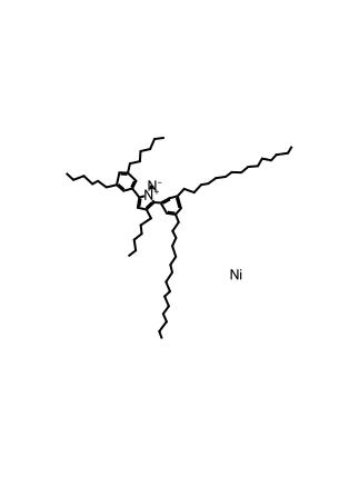 CCCCCCCCCCCCCCCc1cc(CCCCCCCCCCCCCCC)cc(C2=C(CCCCCC)C=C(c3cc(CCCCCC)cc(CCCCCC)c3)[N+]2=[N-])c1.[Ni]